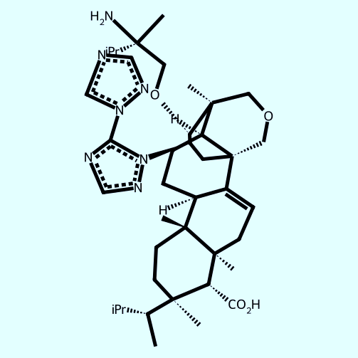 CC(C)[C@@H](C)[C@@]1(C)CC[C@]2(C)[C@H]3CC[C@@H]4[C@@]5(COC[C@]4(C)[C@@H](OC[C@](C)(N)C(C)C)[C@H](n4ncnc4-n4cncn4)C5)C3=CC[C@@]2(C)[C@@H]1C(=O)O